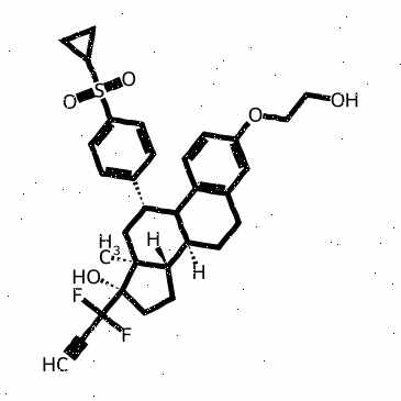 C#CC(F)(F)[C@]1(O)CC[C@H]2[C@@H]3CCc4cc(OCCO)ccc4C3[C@@H](c3ccc(S(=O)(=O)C4CC4)cc3)C[C@@]21C